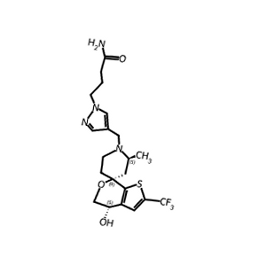 C[C@H]1C[C@@]2(CCN1Cc1cnn(CCCC(N)=O)c1)OC[C@@H](O)c1cc(C(F)(F)F)sc12